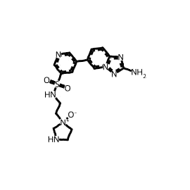 Nc1nc2ccc(-c3cncc(S(=O)(=O)NCC[N+]4([O-])CCNC4)c3)cn2n1